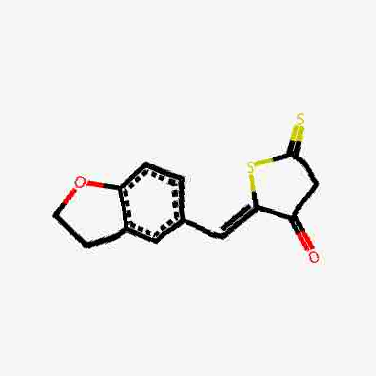 O=C1CC(=S)S/C1=C\c1ccc2c(c1)CCO2